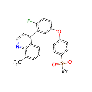 CC(C)S(=O)(=O)c1ccc(Oc2ccc(F)c(-c3ccnc4c(C(F)(F)F)cccc34)c2)cc1